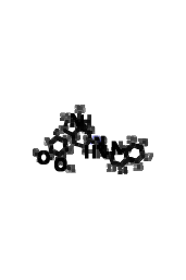 COc1ccc([C@@]23CC/C(=N\Nc4ccc5ccccc5n4)C[C@@H]2N(C)CC3)cc1OC